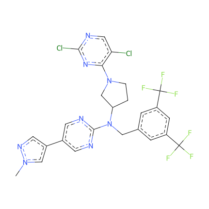 Cn1cc(-c2cnc(N(Cc3cc(C(F)(F)F)cc(C(F)(F)F)c3)C3CCN(c4nc(Cl)ncc4Cl)C3)nc2)cn1